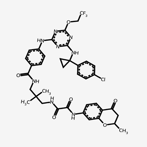 CC1CC(=O)c2ccc(NC(=O)C(=O)NCC(C)(C)CNC(=O)c3ccc(Nc4nc(NC5(c6ccc(Cl)cc6)CC5)nc(OCC(F)(F)F)n4)cc3)cc2O1